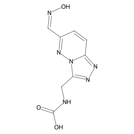 O=C(O)NCc1nnc2ccc(/C=N\O)nn12